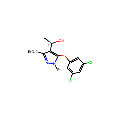 CCOC(=O)c1nn(C(C)C)c(Oc2cc(Cl)cc(Cl)c2)c1[C@@H](C)O